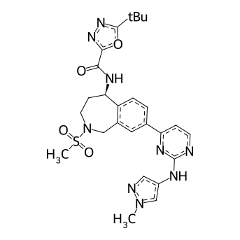 Cn1cc(Nc2nccc(-c3ccc4c(c3)CN(S(C)(=O)=O)CC[C@H]4NC(=O)c3nnc(C(C)(C)C)o3)n2)cn1